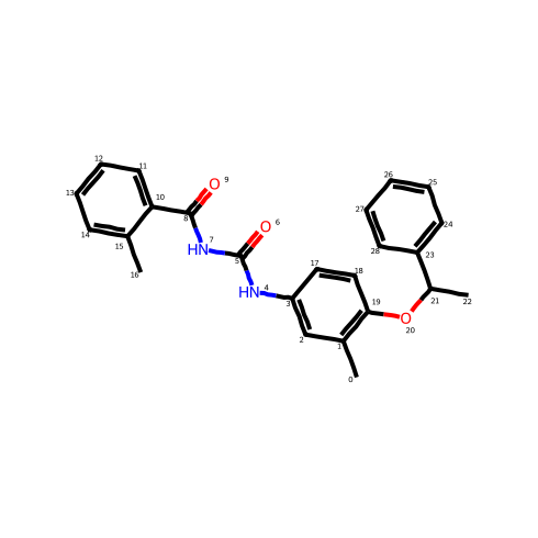 Cc1cc(NC(=O)NC(=O)c2ccccc2C)ccc1OC(C)c1ccccc1